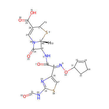 CC1S[C@@H]2C(NC(=O)C(=NOC3C=CCC3)c3csc(NC=O)n3)C(=O)N2C=C1C(=O)O